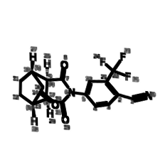 N#Cc1ccc(N2C(=O)[C@@H]3[C@H]4CC[C@H](C(=O)C4)[C@@H]3C2=O)cc1C(F)(F)F